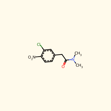 CN(C)C(=O)Cc1ccc([N+](=O)[O-])c(Cl)c1